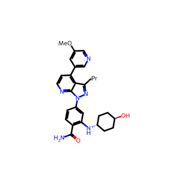 COc1cncc(-c2ccnc3c2c(C(C)C)nn3-c2ccc(C(N)=O)c(N[C@H]3CC[C@H](O)CC3)c2)c1